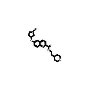 CC(C)N1CCC(Oc2ccc3nc(C(=O)NCCC4CCOCC4)ccc3c2)C1